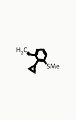 C=Cc1cccc(SC)c1C1CC1